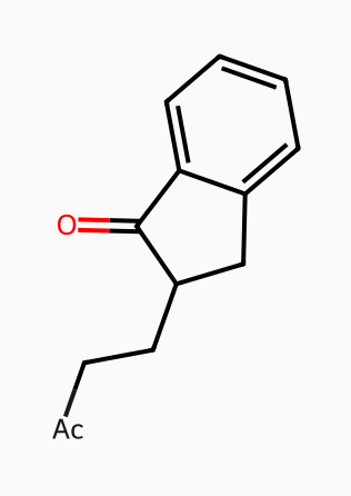 CC(=O)CCC1Cc2ccccc2C1=O